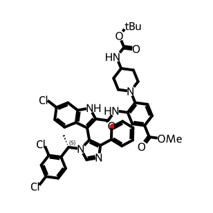 COC(=O)c1ccc(N2CCC(NC(=O)OC(C)(C)C)CC2)c(NC(=O)c2[nH]c3cc(Cl)ccc3c2-c2c(-c3ccccc3)ncn2[C@@H](C)c2ccc(Cl)cc2Cl)c1